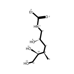 CCC(=O)NC[C@@H](O)C[C@@H](C)[C@H](O)CO